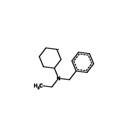 CCN(Cc1ccccc1)C1C[CH]CCC1